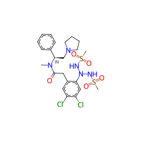 CN(C(=O)Cc1cc(Cl)c(Cl)cc1N(NS(C)(=O)=O)NS(C)(=O)=O)[C@H](CN1CCCC1)c1ccccc1